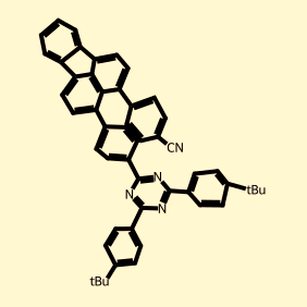 CC(C)(C)c1ccc(-c2nc(-c3ccc(-c4ccc5c6c(ccc(-c7ccc(C#N)cc7)c46)-c4ccccc4-5)cc3)nc(-c3ccc(C(C)(C)C)cc3)n2)cc1